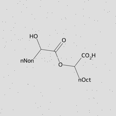 CCCCCCCCCC(O)C(=O)OC(CCCCCCCC)C(=O)O